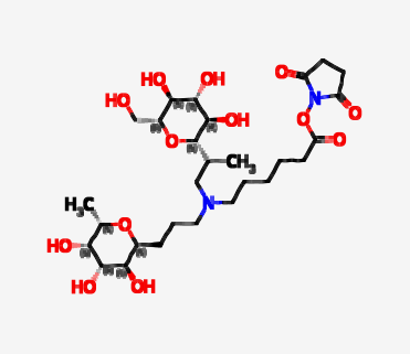 CC(CN(CCCCCC(=O)ON1C(=O)CCC1=O)CCC[C@@H]1O[C@@H](C)[C@@H](O)[C@@H](O)[C@@H]1O)[C@@H]1O[C@H](CO)[C@@H](O)[C@H](O)[C@H]1O